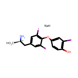 N[C@@H](Cc1cc(I)c(Oc2ccc(O)c(I)c2)c(I)c1)C(=O)O.[NaH]